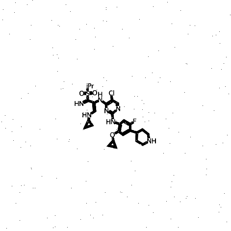 CC(C)S(=O)(=O)C(=N)/C(=C\NC1CC1)Nc1nc(Nc2cc(F)c(C3CCNCC3)cc2OC2CC2)ncc1Cl